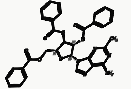 Cc1nc(N)c2ncn([C@@H]3O[C@H](COC(=O)c4ccccc4)C(OC(=O)c4ccccc4)[C@@H]3OC(=O)c3ccccc3)c2n1